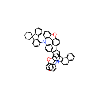 c1ccc(-n2c3ccc(-c4ccc5oc6cccc(N(c7ccc(-c8cccc9c8oc8ccccc89)cc7)c7cccc8c7-c7ccccc7C87CCCCC7)c6c5c4)cc3c3c4ccccc4ccc32)cc1